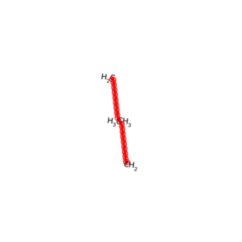 C=CC(=O)OCCOCCOCCOCCOCCOCCOCCOCCOCCOCCOCCOCCOCCOCCOCCOc1ccc(C(C)(C)c2ccc(OCCOCCOCCOCCOCCOCCOCCOCCOCCOCCOCCOCCOCCOCCOCCOC(=O)C=C)cc2)cc1